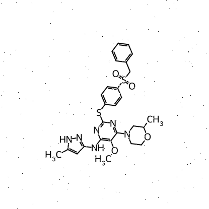 COc1c(Nc2cc(C)[nH]n2)nc(Sc2ccc(S(=O)(=O)Cc3ccccc3)cc2)nc1N1CCOC(C)C1